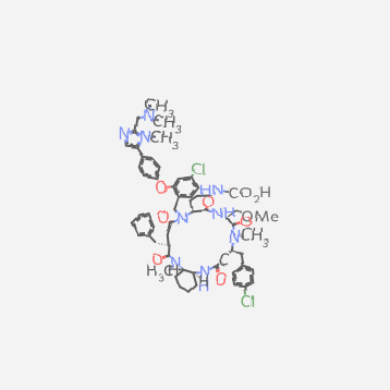 COC[C@@H]1NC(=O)[C@H](CCCNC(=O)O)N(Cc2ccc(Cl)cc2Oc2ccc(-c3cnc(CN(C)C)n3C)cc2)C(=O)C[C@@H](Cc2ccccc2)C(=O)N(C)[C@H]2CCCC[C@@H]2NC(=O)C[C@H](Cc2ccc(Cl)cc2)N(C)C1=O